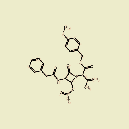 C=C(C)C(C(=O)OCc1ccc(OC)cc1)N1C(=O)C(NC(=O)Cc2ccccc2)C1S[SH](=O)=O